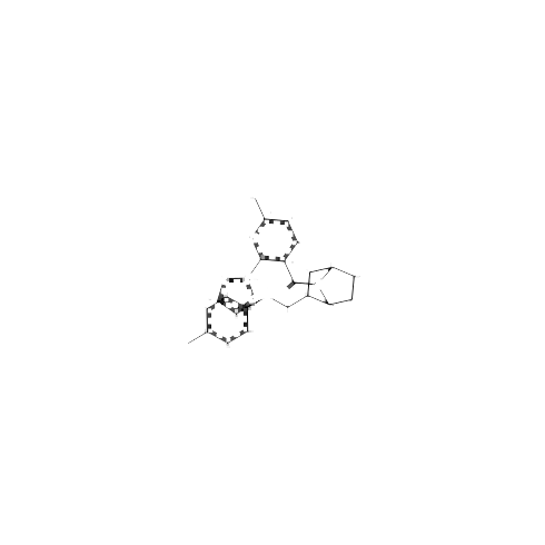 Cc1ccc(OCC2CC3CCC2N3C(=O)c2ccc(C)nc2-n2nccn2)cc1